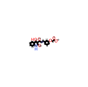 COC(=O)COc1cccc(/C=C/C(=O)c2c(O)c3ccccc3[nH]c2=O)c1